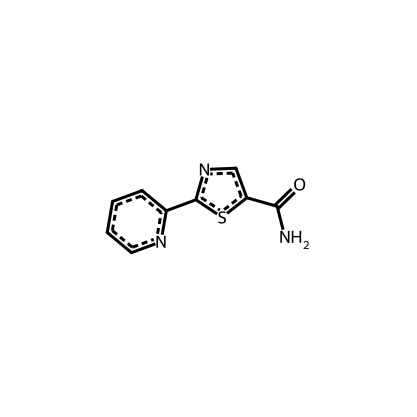 NC(=O)c1cnc(-c2ccccn2)s1